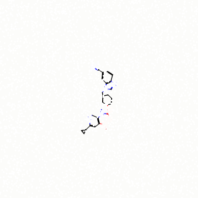 COc1cc(C2CC2)ncc1N1C[C@]2(CCC[C@](C)(Cn3cnc4ccc(C#N)cc43)C2)OC1=O